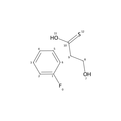 Fc1ccccc1.OCCC(O)=S